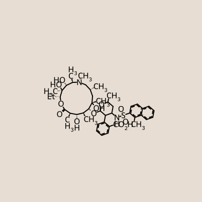 CC[C@H]1OC(=O)[C@H](C)[C@@H](O)[C@H](C)[C@@H](OC2OC(C)CC(NS(=O)(=O)c3ccc4ccccc4c3C)C2c2ccccc2C(=O)O)[C@@](C)(O)C[C@@H](C)CN(C)[C@H](C)[C@@H](O)[C@]1(C)O